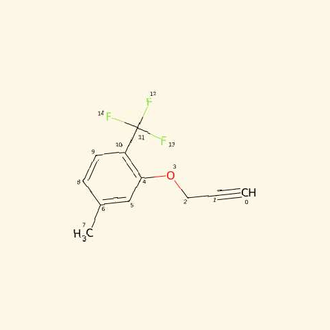 C#CCOc1cc(C)ccc1C(F)(F)F